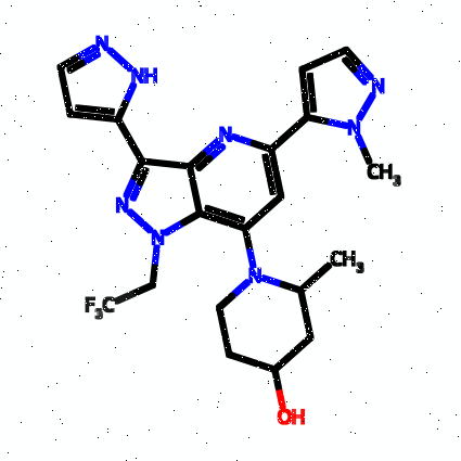 CC1CC(O)CCN1c1cc(-c2ccnn2C)nc2c(-c3ccn[nH]3)nn(CC(F)(F)F)c12